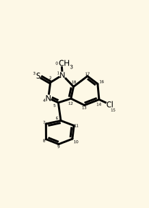 Cn1c(=S)nc(-c2ccccc2)c2cc(Cl)ccc21